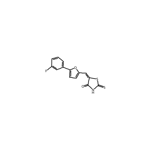 O=C1NC(=S)SC1=Cc1ccc(-c2cccc(F)c2)o1